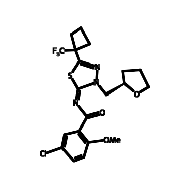 COc1ccc(Cl)cc1C(=O)N=c1sc(C2(C(F)(F)F)CCC2)nn1C[C@H]1CCCO1